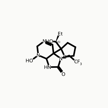 CC[C@H](O)C1(C23C=NCN(O)C2NC(=O)N3CC(F)(F)F)CCCO1